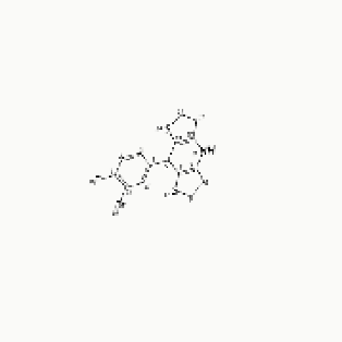 Fc1ccc(C2C3=C(CCS3)NC3=C2SCC3)cc1Br